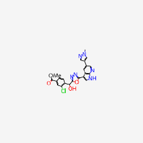 COC(=O)c1ccc(C(O)c2nnc(-c3c[nH]c4ncc(-c5cnn(C)c5)cc34)o2)c(Cl)c1